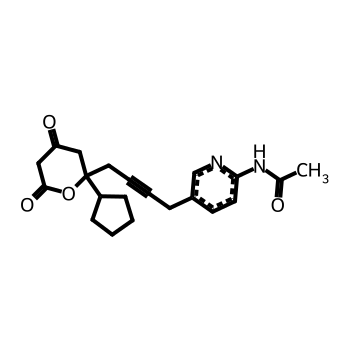 CC(=O)Nc1ccc(CC#CCC2(C3CCCC3)CC(=O)CC(=O)O2)cn1